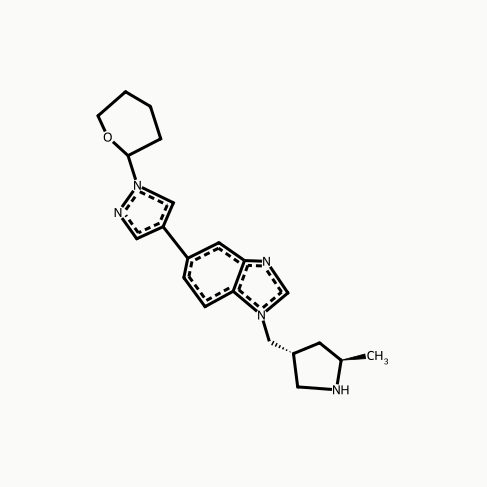 C[C@@H]1C[C@@H](Cn2cnc3cc(-c4cnn(C5CCCCO5)c4)ccc32)CN1